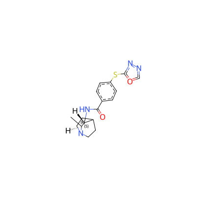 C[C@H]1[C@H](NC(=O)c2ccc(Sc3nnco3)cc2)C2CCN1CC2